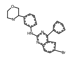 Brc1ccc2nc(Nc3cccc(C4COCC[N]4)c3)nc(-c3ccccc3)c2c1